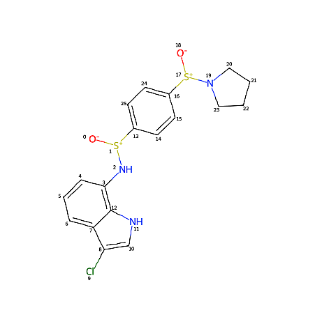 [O-][S+](Nc1cccc2c(Cl)c[nH]c12)c1ccc([S+]([O-])N2CCCC2)cc1